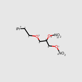 CC(C)CCOCC(CO[N+](=O)[O-])O[N+](=O)[O-]